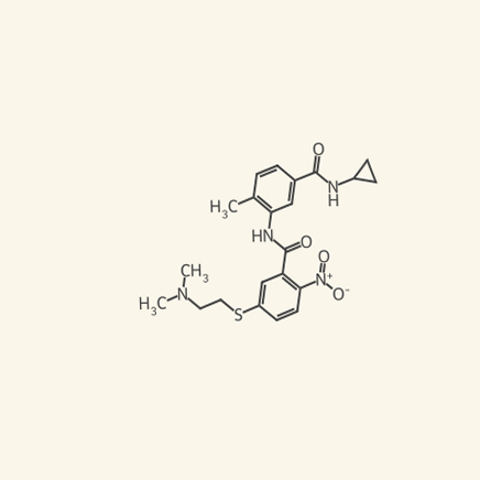 Cc1ccc(C(=O)NC2CC2)cc1NC(=O)c1cc(SCCN(C)C)ccc1[N+](=O)[O-]